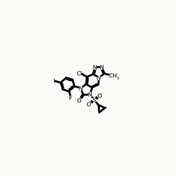 Cc1nnc2c(Cl)c3c(cn12)n(S(=O)(=O)C1CC1)c(=O)n3-c1ccc(I)cc1F